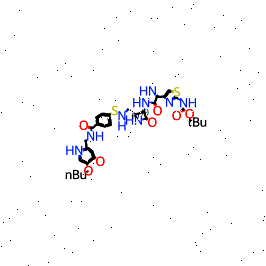 CCCCOc1c[nH]c(CNC(=O)c2ccc(SNC[C@H]3NC(=O)[C@H]3NC(=O)C(=N)c3csc(NC(=O)OC(C)(C)C)n3)cc2)cc1=O